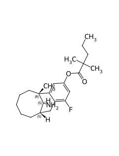 CCCC(C)(C)C(=O)Oc1cc(F)c2c(c1)[C@@]1(C)CCCCC[C@@H](C2)[C@@H]1N